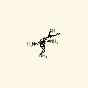 CCCCCCCCN(CCCS)CCC[C@@H](C)[C@H]1CC[C@H]2C3[C@H](OCCCN)CC4C[C@H](OCCCN)CC[C@]4(C)[C@H]3C[C@H](OCCCN)[C@]12C